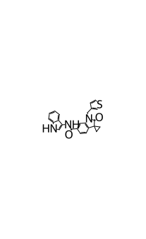 O=C(Nc1c[nH]c2ccccc12)c1ccc2c(c1)N(Cc1ccsc1)C(=O)C21CC1